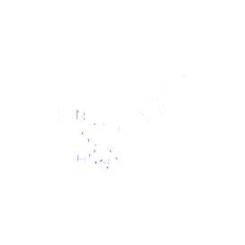 Nc1cc(OCc2cccc(OC3CC3)c2)c2nn[nH]c2n1